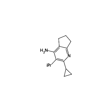 CC(C)c1c(C2CC2)nc2c(c1N)CCC2